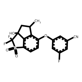 CC1CC2(O)c3c(ccc(Oc4cc(F)cc(C#N)c4)c31)S(=O)(=O)C2(F)F